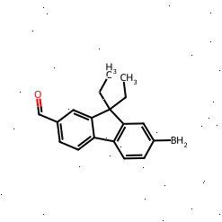 Bc1ccc2c(c1)C(CC)(CC)c1cc(C=O)ccc1-2